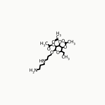 CCC1OC(OCCCNCCCN)C(OC(C)=O)C(OC(C)=O)C1OC(C)=O